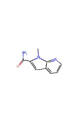 Cn1c(C(N)=O)cc2cccnc21